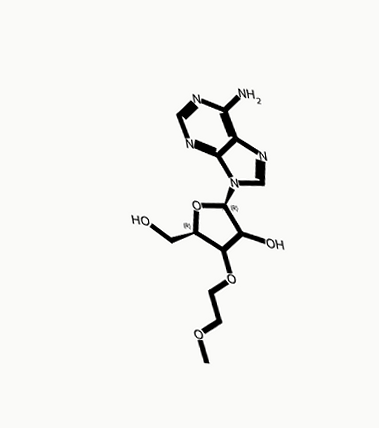 COCCOC1C(O)[C@H](n2cnc3c(N)ncnc32)O[C@@H]1CO